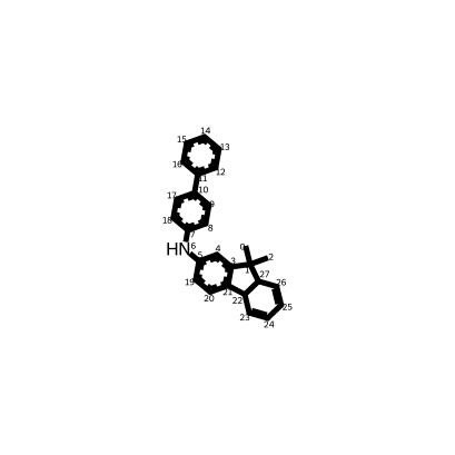 CC1(C)c2cc(Nc3ccc(-c4ccccc4)cc3)ccc2C2C=CC=CC21